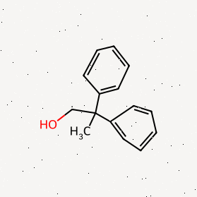 CC([CH]O)(c1ccccc1)c1ccccc1